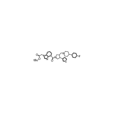 CC(C)(C)OC(=O)Cn1cnc2c(C(=O)N3CC(CN4CCC(c5ccc(F)cc5)CC4)C(c4ccsc4)C3)cccc21